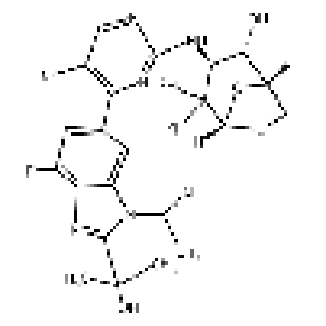 [2H]C1([2H])[C@H]2OC[C@H](O2)[C@@H](O)[C@@H]1Nc1ncc(Cl)c(-c2cc(F)c3nc(C(C)(C)O)n(C(C)C)c3c2)n1